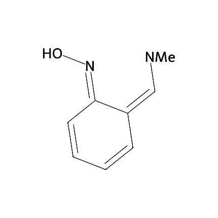 CN/C=C1/C=CC=C/C1=N\O